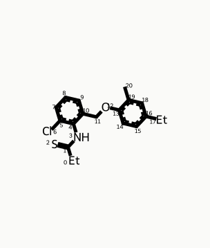 CCC(=S)Nc1c(Cl)cccc1COc1ccc(CC)cc1C